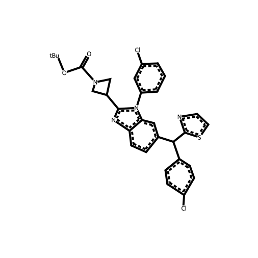 CC(C)(C)OC(=O)N1CC(c2nc3ccc(C(c4ccc(Cl)cc4)c4nccs4)cc3n2-c2cccc(Cl)c2)C1